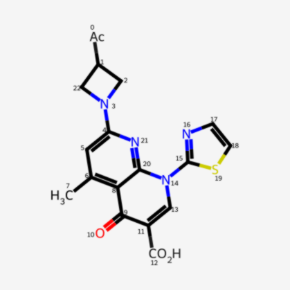 CC(=O)C1CN(c2cc(C)c3c(=O)c(C(=O)O)cn(-c4nccs4)c3n2)C1